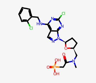 CN(C[C@@H]1CC[C@H](n2ncc3c(NCc4ccccc4Cl)nc(Cl)nc32)O1)C(=O)CP(=O)(O)O